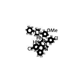 COc1ccc(NC(=O)c2[nH]c3cc(Cl)ccc3c2-c2c(-c3ccccc3)ncn2[C@@H](C)c2ccc(Cl)cc2)c(N2CCN(C3CCCCC3)CC2)c1